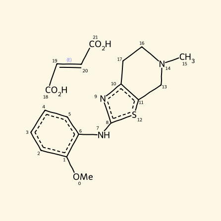 COc1ccccc1Nc1nc2c(s1)CN(C)CC2.O=C(O)/C=C/C(=O)O